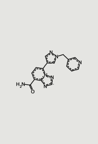 NC(=O)c1ccc(-c2cnn(Cc3cccnc3)c2)n2n[c]nc12